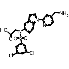 NCc1ccnc(-n2ccc3cc(N(CC(=O)O)S(=O)(=O)c4cc(Cl)cc(Cl)c4)ccc32)c1